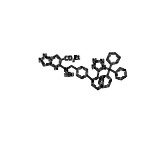 CCCCN(Cc1ccc(-c2ccccc2-c2nnnn2C(c2ccccc2)(c2ccccc2)c2ccccc2)cc1)c1nc2cnnn2cc1C(=O)OCC